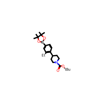 CCc1cc(B2OC(C)(C)C(C)(C)O2)ccc1C1CCN(C(=O)OC(C)(C)C)CC1